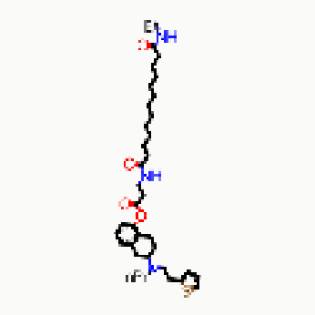 CCCN(CCc1cccs1)[C@@H]1CCc2c(cccc2OC(=O)CCNC(=O)CCCCCCCCCCCC(=O)NCC)C1